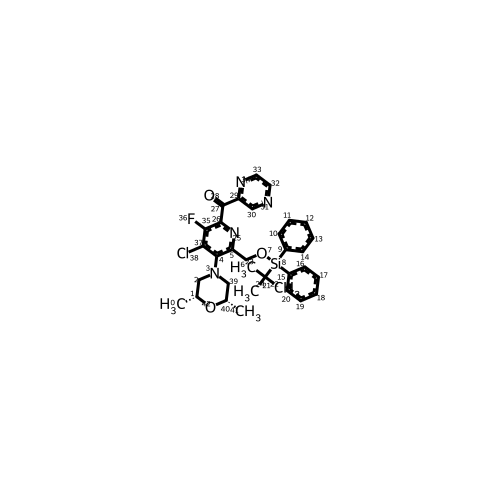 C[C@@H]1CN(c2c(CO[Si](c3ccccc3)(c3ccccc3)C(C)(C)C)nc(C(=O)c3cnccn3)c(F)c2Cl)C[C@H](C)O1